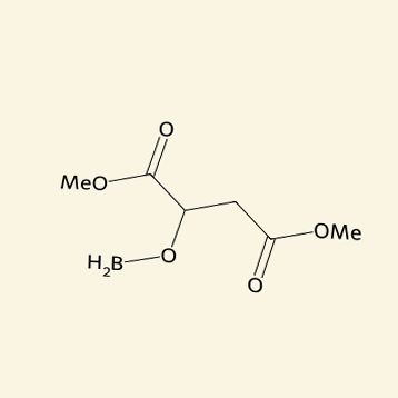 BOC(CC(=O)OC)C(=O)OC